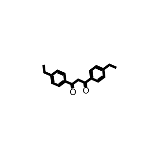 CCc1ccc(C(=O)CC(=O)c2ccc(CC)cc2)cc1